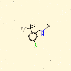 FC(F)(F)C1(c2ccc(Cl)cc2CNC2CC2)CC1